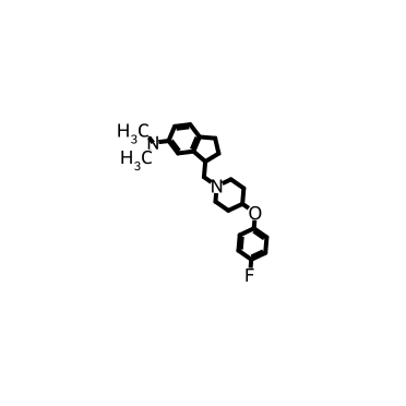 CN(C)c1ccc2c(c1)C(CN1CCC(Oc3ccc(F)cc3)CC1)CC2